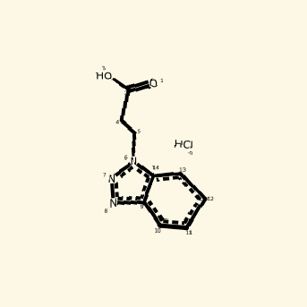 Cl.O=C(O)CCn1nnc2ccccc21